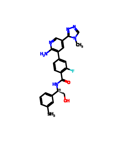 Cn1cnnc1-c1cnc(N)c(-c2ccc(C(=O)N[C@H](CO)c3cccc([SiH3])c3)c(F)c2)c1